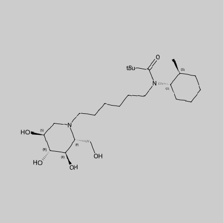 C[C@H]1CCCC[C@@H]1N(CCCCCCN1C[C@H](O)[C@@H](O)[C@H](O)[C@H]1CO)C(=O)C(C)(C)C